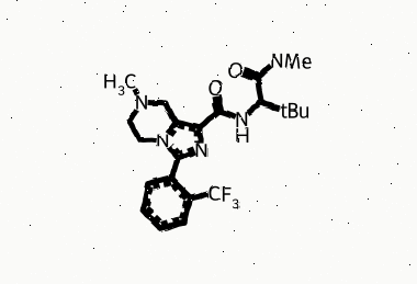 CNC(=O)C(NC(=O)c1nc(-c2ccccc2C(F)(F)F)n2c1CN(C)CC2)C(C)(C)C